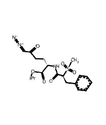 CC(C)OC(=O)[C@H](CCC(=O)C=[N+]=[N-])NC(=O)[C@H](Cc1ccccc1)S(C)(=O)=O